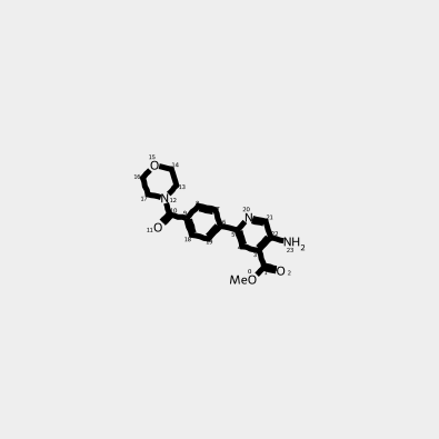 COC(=O)c1cc(-c2ccc(C(=O)N3CCOCC3)cc2)ncc1N